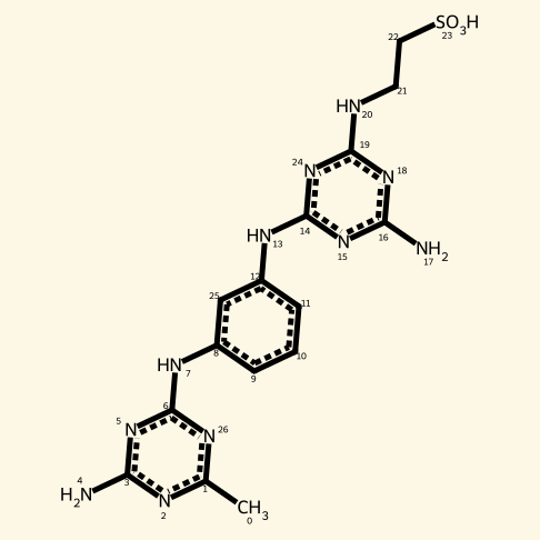 Cc1nc(N)nc(Nc2cccc(Nc3nc(N)nc(NCCS(=O)(=O)O)n3)c2)n1